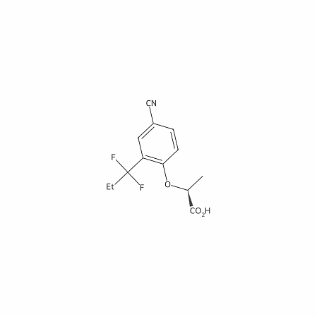 CCC(F)(F)c1cc(C#N)ccc1O[C@@H](C)C(=O)O